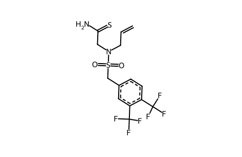 C=CCN(CC(N)=S)S(=O)(=O)Cc1ccc(C(F)(F)F)c(C(F)(F)F)c1